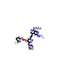 CNc1ncc(C#Cc2cc(OCCOc3cccc(Cl)n3)c(CN3CCOCC3)cn2)c2cc(N)ncc12